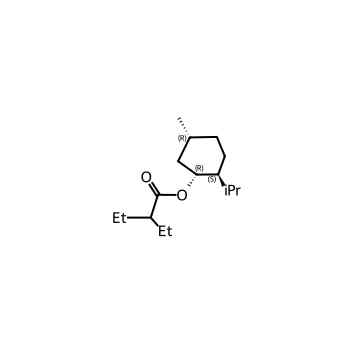 CCC(CC)C(=O)O[C@@H]1C[C@H](C)CC[C@H]1C(C)C